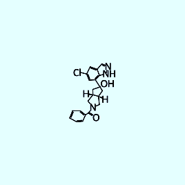 O=C(c1ccccc1)N1C[C@@H]2C[C@@](O)(c3cc(Cl)cc4cn[nH]c34)C[C@@H]2C1